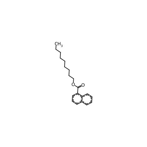 CCCCCCCCCOC(=O)c1cccc2ccccc12